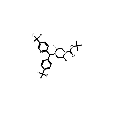 C[C@@H]1CN(C(=O)OC(C)(C)C)[C@@H](C)CN1C(c1ccc(C(F)(F)F)cc1)c1ccc(C(F)(F)F)cn1